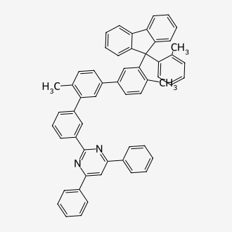 Cc1ccc(-c2ccc(C)c(C3(c4ccccc4C)c4ccccc4-c4ccccc43)c2)cc1-c1cccc(-c2nc(-c3ccccc3)cc(-c3ccccc3)n2)c1